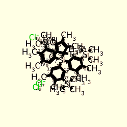 CC1=C(C)[C]([Ti+3])([Si](c2cc(C)c(C)c([Si](C)(C)C)c2)(c2cc(C)c(C)c([Si](C)(C)C)c2)c2cc(C)c(C)c([Si](C)(C)C)c2)C(C)=C1C.[Cl-].[Cl-].[Cl-]